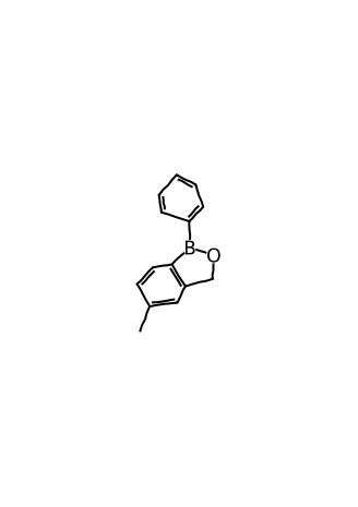 Cc1ccc2c(c1)COB2c1ccccc1